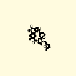 Cc1ccc(CN2CCN(C(=O)c3cc4c(cc3C)[nH]c(=O)c3cnn(C5CCOCC5)c34)C[C@@H]2C)o1